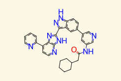 O=C(CC1CCCCC1)Nc1cncc(-c2ccc3[nH]nc(-c4nc5c(-c6ccccn6)ccnc5[nH]4)c3c2)c1